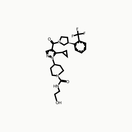 O=C(NCCO)N1CCC(n2ncc(C(=O)N3CC[C@@H](c4ccccc4C(F)(F)F)C3)c2C2CC2)CC1